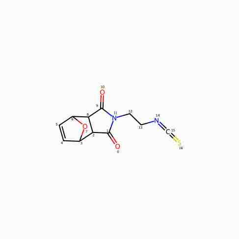 O=C1C2C3C=CC(O3)C2C(=O)N1CCN=C=S